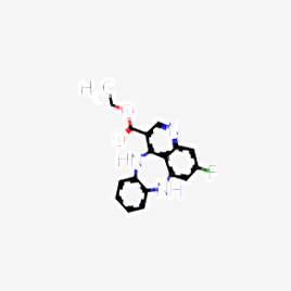 CCOC(=O)c1cnc2cc(F)cc3c2c1Nc1ccccc1N3